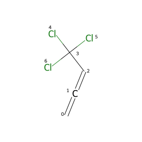 C=C=CC(Cl)(Cl)Cl